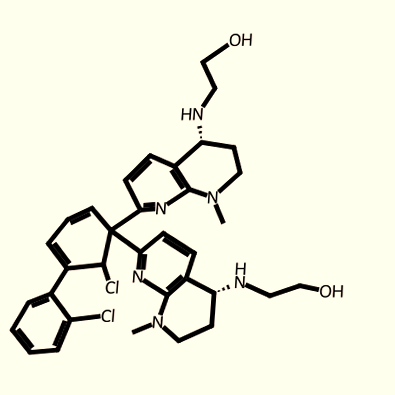 CN1CC[C@@H](NCCO)c2ccc(C3(c4ccc5c(n4)N(C)CC[C@H]5NCCO)C=CC=C(c4ccccc4Cl)C3Cl)nc21